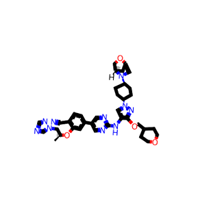 C[C@@H](Cn1cncn1)Oc1cc(-c2cnc(Nc3cn([C@H]4CC[C@H](N5C=C6C[C@@H]5CO6)CC4)nc3OCC3CCOCC3)nc2)ccc1C#N